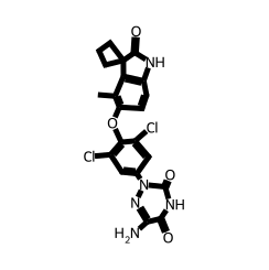 Cc1c(Oc2c(Cl)cc(-n3nc(N)c(=O)[nH]c3=O)cc2Cl)ccc2c1C1(CCC1)C(=O)N2